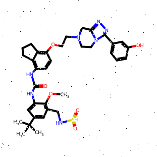 COc1c(CN[SH](=O)=O)cc(C(C)(C)C)cc1NC(=O)Nc1ccc(OCCN2CCn3c(nnc3-c3cccc(O)c3)C2)c2c1CCC2